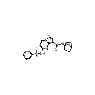 O=C(NC12CCC(CC1)C2)c1cnn2ccc(NS(=O)(=O)c3ccccc3)nc12